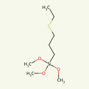 CCSCCC[Si](OC)(OC)OC